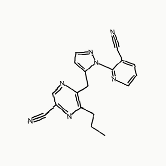 CCCc1nc(C#N)cnc1Cc1ccnn1-c1ncccc1C#N